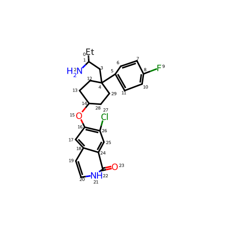 CCC(N)CC1(c2ccc(F)cc2)CCC(Oc2cc3cc[nH]c(=O)c3cc2Cl)CC1